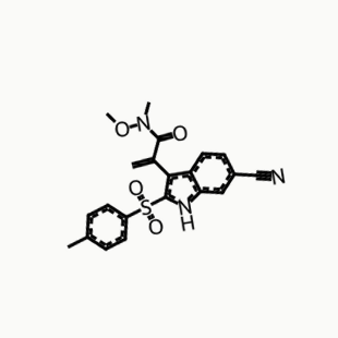 C=C(C(=O)N(C)OC)c1c(S(=O)(=O)c2ccc(C)cc2)[nH]c2cc(C#N)ccc12